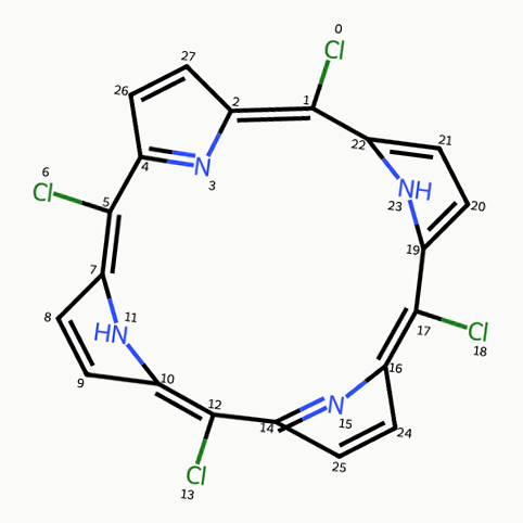 Clc1c2nc(c(Cl)c3ccc([nH]3)c(Cl)c3nc(c(Cl)c4ccc1[nH]4)C=C3)C=C2